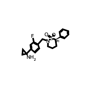 NC1(c2ccc(CN3CCC[C@H](c4ccccc4)S3(=O)=O)c(F)c2)CC1